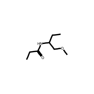 CCC(=O)NC(CC)COC